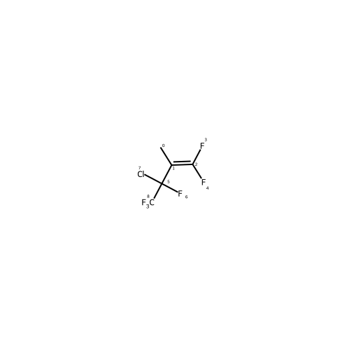 CC(=C(F)F)C(F)(Cl)C(F)(F)F